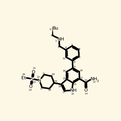 CC[C@H](C)CNCc1cccc(-c2cc(C(N)=O)c3[nH]cc(C4CCN(S(=O)(=O)CC)CC4)c3c2)c1